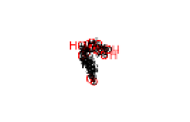 C[C@H]1O[C@@H](O[C@H]2[C@@H](C)O[C@@H](O[C@H]3[C@@H](O)C[C@H](O[C@H]4CC[C@@]5(C)[C@H](CCC6C7CC[C@H](C8=CC(=O)OC8)[C@@]7(C)CC[C@@H]65)C4)O[C@@H]3C)O[C@@H]2O)C[C@H](O)[C@@H]1O